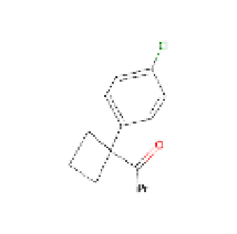 CC(C)C(=O)C1(c2ccc(Cl)cc2)CCC1